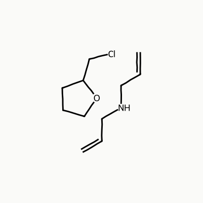 C=CCNCC=C.ClCC1CCCO1